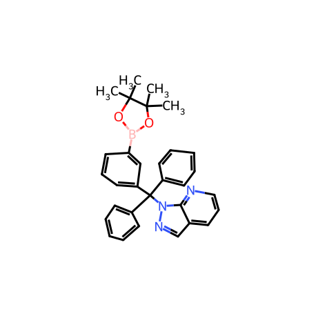 CC1(C)OB(c2cccc(C(c3ccccc3)(c3ccccc3)n3ncc4cccnc43)c2)OC1(C)C